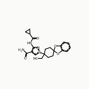 N#CCC1(n2cc(C(N)=O)c(NC(=O)C3CC3)n2)CCC2(CC1)Oc1ccccc1O2